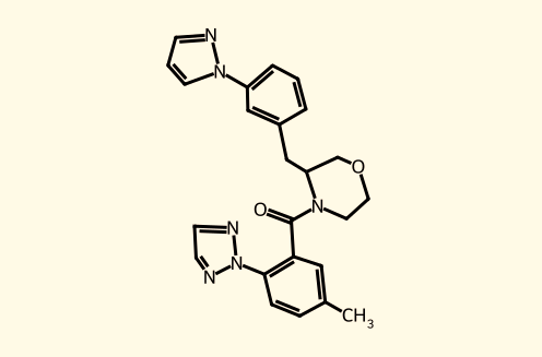 Cc1ccc(-n2nccn2)c(C(=O)N2CCOCC2Cc2cccc(-n3cccn3)c2)c1